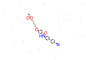 C=CC(=O)OCCCCCCOc1ccc(C(=O)Nc2ccc(-c3ccc(C#N)cc3)cc2)cc1